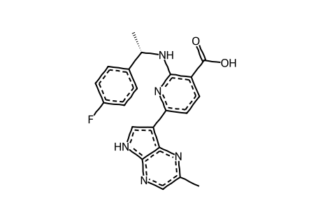 Cc1cnc2[nH]cc(-c3ccc(C(=O)O)c(N[C@@H](C)c4ccc(F)cc4)n3)c2n1